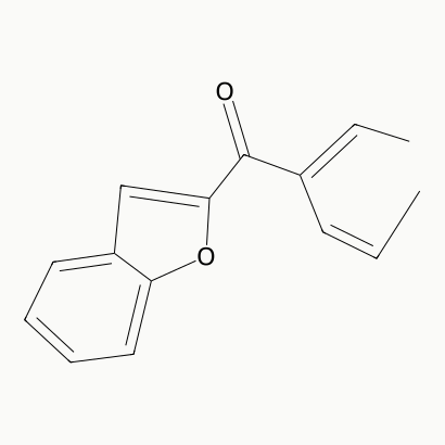 C/C=C\C(=C/C)C(=O)c1cc2ccccc2o1